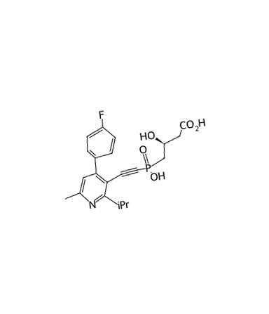 Cc1cc(-c2ccc(F)cc2)c(C#CP(=O)(O)C[C@@H](O)CC(=O)O)c(C(C)C)n1